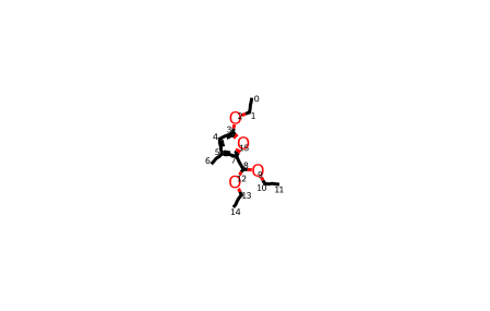 CCOc1cc(C)c(C(OCC)OCC)o1